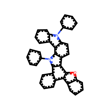 c1ccc(-n2c3ccccc3c3c2ccc2c4c5oc6ccccc6c5c5ccccc5c4n(-c4ccccc4)c23)cc1